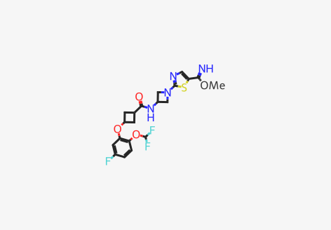 COC(=N)c1cnc(N2CC(NC(=O)C3CC(Oc4cc(F)ccc4OC(F)F)C3)C2)s1